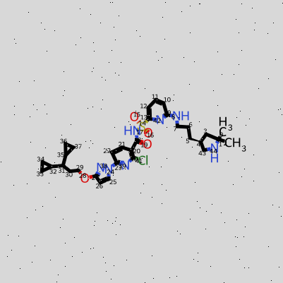 CC1(C)C[C@H](CCCNc2cccc(S(=O)(=O)NC(=O)c3ccc(-n4ccc(OCCC(C5CC5)C5CC5)n4)nc3Cl)n2)CN1